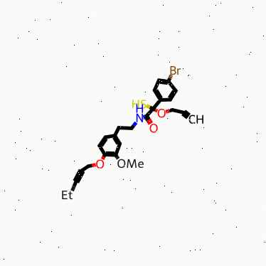 C#CCOC(S)(C(=O)NCCc1ccc(OCC#CCC)c(OC)c1)c1ccc(Br)cc1